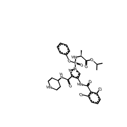 CC(C)OC(=O)[C@H](C)NP(=O)(Oc1ccccc1)n1cc(NC(=O)c2c(Cl)cccc2Cl)c(C(=O)NC2CCNCC2)n1